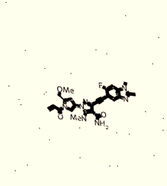 C=CC(=O)N1CC(n2nc(C#Cc3cc4nc(C)n(C)c4cc3F)c(C(N)=O)c2NC)C[C@@H]1COC